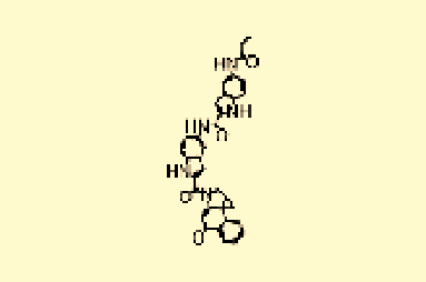 CCC(=O)Nc1ccc2[nH]c(C(=O)Nc3ccc4[nH]c(C(=O)N5CC6CC67C5=CC(=O)c5ccccc57)cc4c3)cc2c1